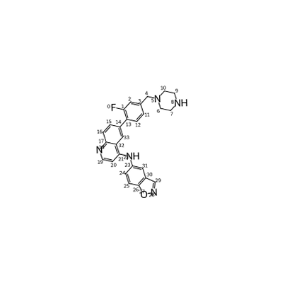 Fc1cc(CN2CCNCC2)ccc1-c1ccc2nccc(Nc3ccc4oncc4c3)c2c1